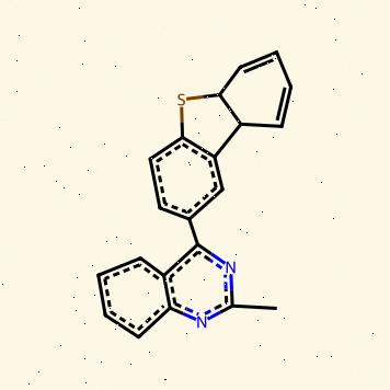 Cc1nc(-c2ccc3c(c2)C2C=CC=CC2S3)c2ccccc2n1